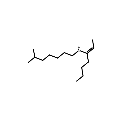 C/C=C(/CCCC)NCCCCCC(C)C